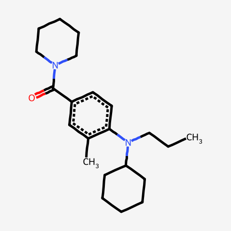 CCCN(c1ccc(C(=O)N2CCCCC2)cc1C)C1CCCCC1